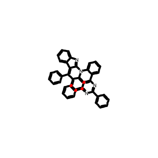 c1ccc(-c2nc(-c3ccccc3)nc(-c3ccccc3-n3c4nc5ccccc5c-4c(-c4ccccc4)c4ccccc43)n2)cc1